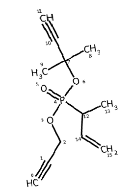 C#CCOP(=O)(OC(C)(C)C#C)C(C)C=C